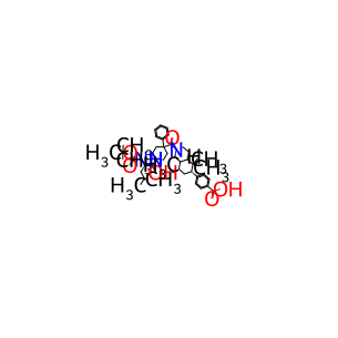 CC(C)C[C@@H](NC(=O)OC(C)(C)C)C(O)N1CCC(C(=O)N2CC[C@H]3C(C)(C)[C@@H](c4ccc(C(=O)O)cc4)CC[C@]3(C)C2)(c2ccccc2)CC1